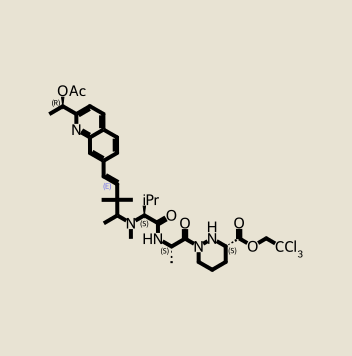 CC(=O)O[C@H](C)c1ccc2ccc(/C=C/C(C)(C)C(C)N(C)[C@H](C(=O)N[C@@H](C)C(=O)N3CCC[C@@H](C(=O)OCC(Cl)(Cl)Cl)N3)C(C)C)cc2n1